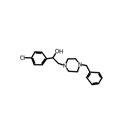 OC(CN1CCN(Cc2ccccc2)CC1)c1ccc(Cl)cc1